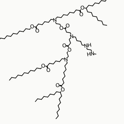 CCCCCCCCCCCOC(=O)CCCCCN(CCCCCCCC(=O)OC(CCCCCCCC)CCCCCCCC)CCOC(=O)CCN(CCCCNCCNC)CCC(=O)OCCN(CCCCCCCC(=O)OC(CCCCCCCC)CCCCCCCC)CCCCCC(=O)OCCCCCCCCCCC